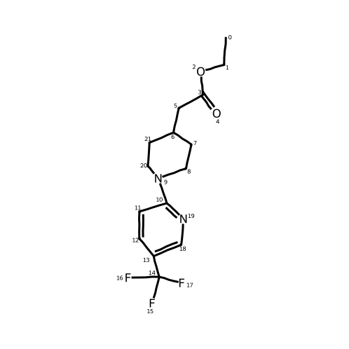 CCOC(=O)CC1CCN(c2ccc(C(F)(F)F)cn2)CC1